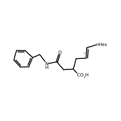 CCCCCC/C=C/CC(CC(=O)NCc1ccccc1)C(=O)O